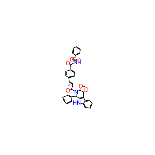 O=C(NS(=O)(=O)c1ccccc1)c1ccc(/C=C/C(=O)N2C(c3ccccc3)c3[nH]c4ccccc4c3C3OCOC32)cc1